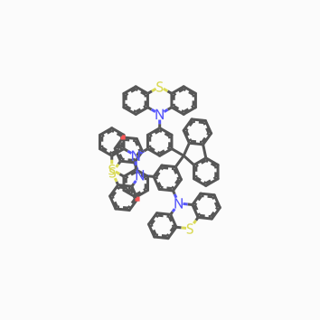 c1ccc2c(c1)Sc1ccccc1N2c1cc(N2c3ccccc3Sc3ccccc32)cc(C2(c3cc(N4c5ccccc5Sc5ccccc54)cc(N4c5ccccc5Sc5ccccc54)c3)c3ccccc3-c3ccccc32)c1